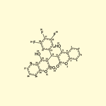 O=c1oc2ccccc2c(O)c1C(c1cc(F)c(F)c(F)c1)c1c(O)c2ccccc2oc1=O